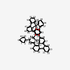 c1ccc(-c2nc(-c3ccccc3)nc(-c3cccc4c5ccccc5c5ccc(-c6ccc7c(c6)-c6ccccc6C76c7ccccc7-c7ccccc76)cc5c34)n2)cc1